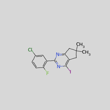 CC1(C)Cc2nc(-c3cc(Cl)ccc3F)nc(I)c2C1